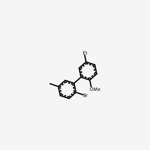 CCc1c[c]c(OC)c(-c2cc(C)ccc2Br)c1